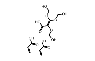 C=CC(=O)O.C=CC(=O)O.O=C(O)C(OCO)=C(OCO)OCO